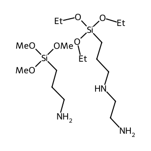 CCO[Si](CCCNCCN)(OCC)OCC.CO[Si](CCCN)(OC)OC